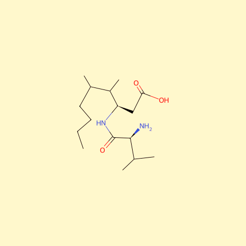 CCCCC(C)C(C)[C@@H](CC(=O)O)NC(=O)[C@@H](N)C(C)C